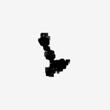 C[C@@H](S[C@H]1CO[C@H](C=Cc2ccc(C(F)(F)F)cc2)OC1)[C@](O)(Cn1cncn1)c1ccc(F)cc1F